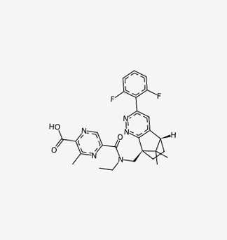 CCN(C[C@@]12CC[C@@H](c3cc(-c4c(F)cccc4F)nnc31)C2(C)C)C(=O)c1cnc(C(=O)O)c(C)n1